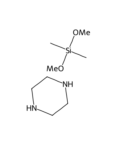 C1CNCCN1.CO[Si](C)(C)OC